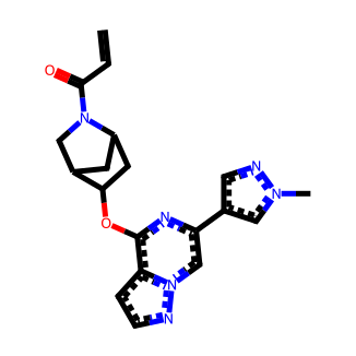 C=CC(=O)N1CC2CC1CC2Oc1nc(-c2cnn(C)c2)cn2nccc12